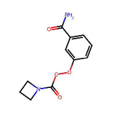 NC(=O)c1cccc(OOC(=O)N2CCC2)c1